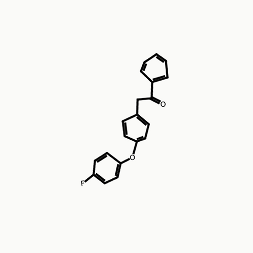 O=C(Cc1ccc(Oc2ccc(F)cc2)cc1)c1ccccc1